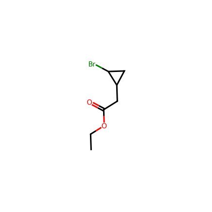 CCOC(=O)CC1CC1Br